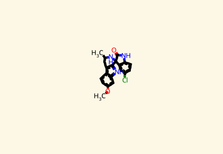 COc1ccc2c3c([nH]c2c1)C1(NC(C)C3)C(=O)Nc2ccc(Cl)cc21